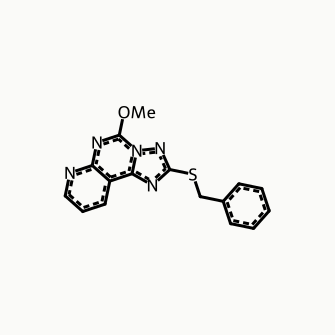 COc1nc2ncccc2c2nc(SCc3ccccc3)nn12